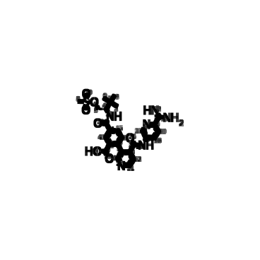 CC(C)(C)[C@@H](COS(C)(=O)=O)NC(=O)c1ccc(-c2cnccc2C(=O)Nc2ccc(C(=N)N)nc2)c(C(=O)O)c1